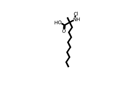 CCCCCCCCCC(C)(NCl)C(=O)O